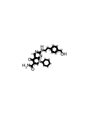 NC(=O)c1cn(C2CCCCC2)c2nc(NCCc3ccc(CO)cc3)ncc2c1=O